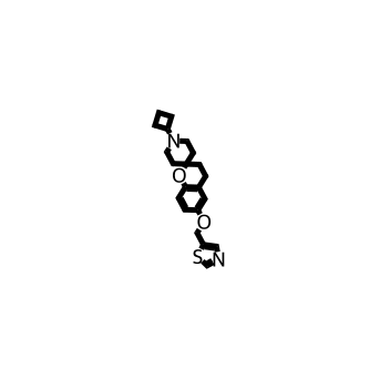 c1ncc(COc2ccc3c(c2)CCC2(CCN(C4CCC4)CC2)O3)s1